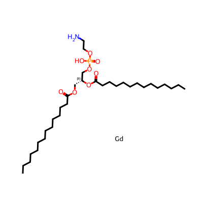 CCCCCCCCCCCCCC(=O)OC[C@H](COP(=O)(O)OCCN)OC(=O)CCCCCCCCCCCCC.[Gd]